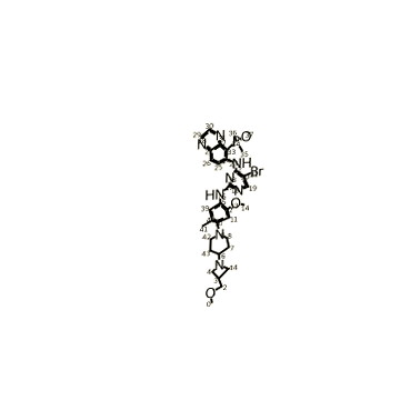 COCC1CN(C2CCN(c3cc(OC)c(Nc4ncc(Br)c(Nc5ccc6nccnc6c5P(C)(C)=O)n4)cc3C)CC2)C1